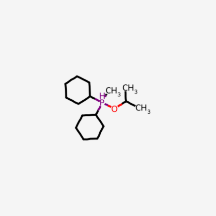 CC(C)O[PH](C)(C1CCCCC1)C1CCCCC1